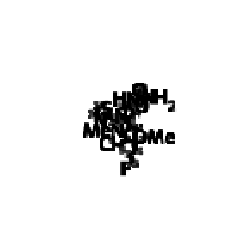 CNC(C(/C=C\C=C\F)=C\Cl)/C(COC)=C1/C[C@H](NS(N)(=O)=O)CN1Cc1nccs1